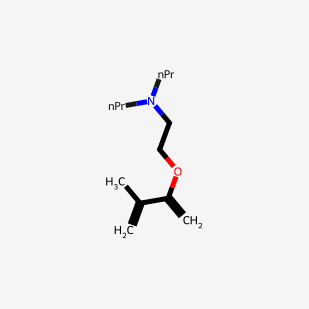 C=C(C)C(=C)OCCN(CCC)CCC